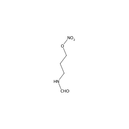 O=[C]NCCCO[N+](=O)[O-]